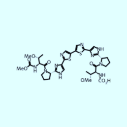 COC(=O)N[C@H](C(=O)N1CCC[C@H]1c1nc(-c2ncc(-c3cnc(-c4c[nH]c([C@@H]5CCCN5C(=O)[C@@H](NC(=O)O)[C@@H](C)OC)n4)s3)s2)c[nH]1)[C@@H](C)OC